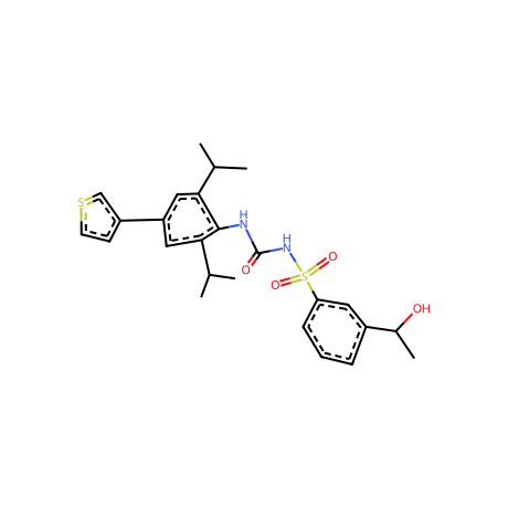 CC(C)c1cc(-c2ccsc2)cc(C(C)C)c1NC(=O)NS(=O)(=O)c1cccc(C(C)O)c1